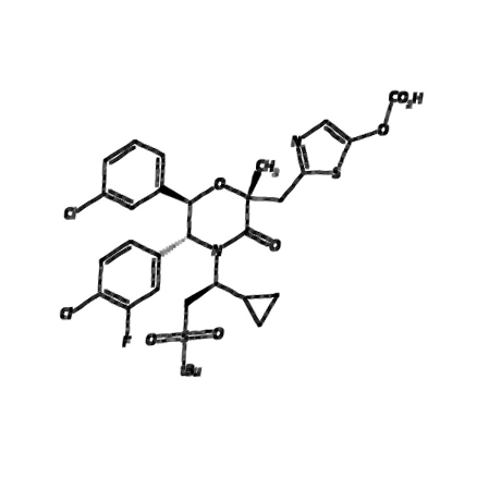 CC(C)(C)S(=O)(=O)C[C@H](C1CC1)N1C(=O)[C@@](C)(Cc2ncc(OC(=O)O)s2)O[C@H](c2cccc(Cl)c2)[C@H]1c1ccc(Cl)c(F)c1